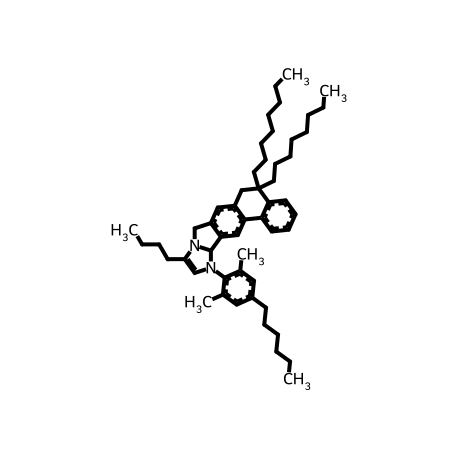 CCCCCCCCC1(CCCCCCCC)Cc2cc3c(cc2-c2ccccc21)C1N(C3)C(CCCC)=CN1c1c(C)cc(CCCCCC)cc1C